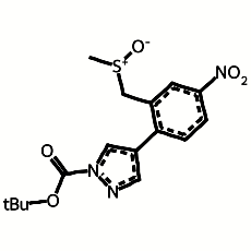 C[S+]([O-])Cc1cc([N+](=O)[O-])ccc1-c1cnn(C(=O)OC(C)(C)C)c1